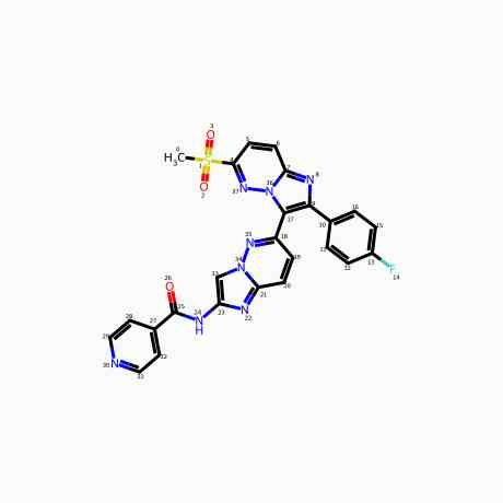 CS(=O)(=O)c1ccc2nc(-c3ccc(F)cc3)c(-c3ccc4nc(NC(=O)c5ccncc5)cn4n3)n2n1